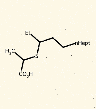 CCCCCCCCCC(CC)SC(C)C(=O)O